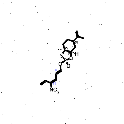 C=C/C(=C\C=C\OP1(=O)O[C@@H]2C[C@H](C(=C)C)CC[C@]2(C)S1)[N+](=O)[O-]